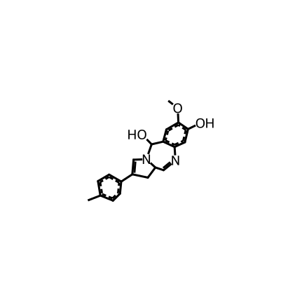 COc1cc2c(cc1O)N=CC1CC(c3ccc(C)cc3)=CN1C2O